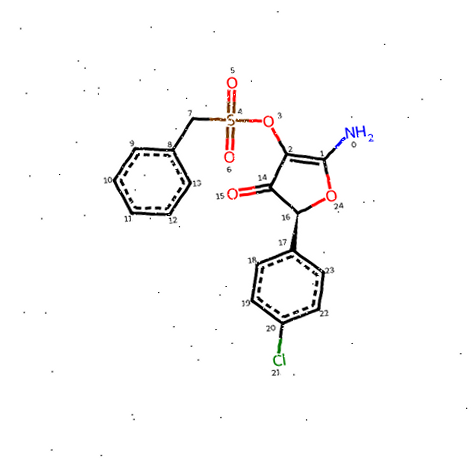 NC1=C(OS(=O)(=O)Cc2ccccc2)C(=O)[C@H](c2ccc(Cl)cc2)O1